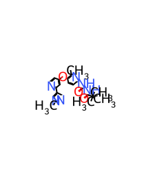 Cc1nc(NC(=O)NC(=O)C(C)(C)C)ccc1Oc1ccnc(-c2cnn(C)c2)c1